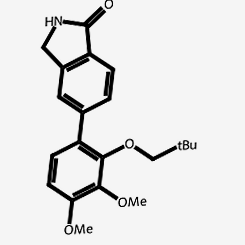 COc1ccc(-c2ccc3c(c2)CNC3=O)c(OCC(C)(C)C)c1OC